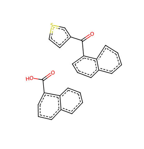 O=C(O)c1cccc2ccccc12.O=C(c1ccsc1)c1cccc2ccccc12